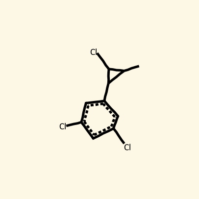 CC1C(Cl)C1c1cc(Cl)cc(Cl)c1